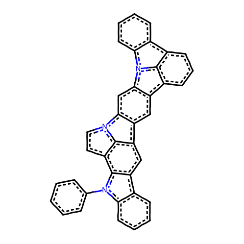 c1ccc(-n2c3ccccc3c3cc4c5cc6c7cccc8c9ccccc9n(c6cc5n5ccc(c32)c45)c87)cc1